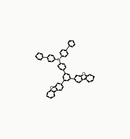 c1ccc(-c2ccc(N(c3ccc(-c4ccccc4)cc3)c3ccc(-c4cc(-c5ccc6c(c5)oc5ccccc56)cc(-c5ccc6c(c5)oc5ccccc56)c4)cc3)cc2)cc1